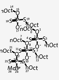 CCCCCCCCOP([O-])(=S)SCCCCCCCC.CCCCCCCCOP([O-])(=S)SCCCCCCCC.CCCCCCCCOP([O-])(=S)SCCCCCCCC.CCCCCCCCOP([O-])(=S)SCCCCCCCC.[Mo+4]